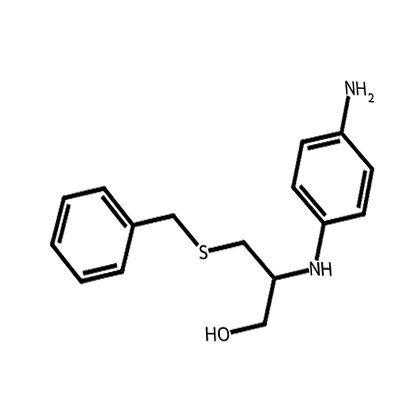 Nc1ccc(NC(CO)CSCc2ccccc2)cc1